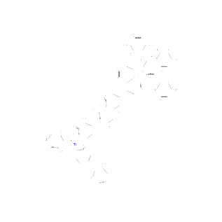 c1ccc(-c2ccc3c(c2)c2cc(-c4ccc5cc(-c6ccc7c8c(cccc68)-c6c-7c(-c7ccccc7)c7ccccc7c6-c6ccccc6)ccc5c4)ccc2n3-c2ccccc2)cc1